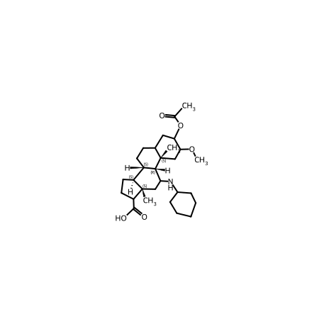 COC1C[C@@]2(C)C(CC[C@@H]3[C@H]2C(NC2CCCCC2)C[C@]2(C)C(C(=O)O)CC[C@@H]32)CC1OC(C)=O